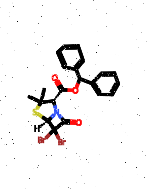 CC1(C)S[C@H]2N(C(=O)C2(Br)Br)[C@H]1C(=O)OC(c1ccccc1)c1ccccc1